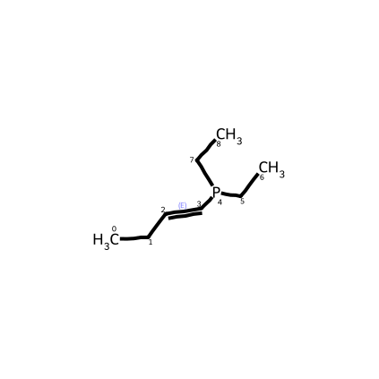 CC/C=C/P(CC)CC